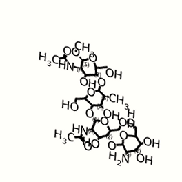 CO[C@H]1OC(CO)[C@H](OC2OC(CO)C(O[C@H]3OC(CO)[C@H](OC4OC(CO)C(O)[C@H](O)[C@@H]4N)C(O)[C@H]3NC(C)=O)[C@H](O)[C@@H]2C)C(O)[C@H]1NC(C)=O